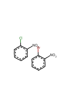 O=[N+]([O-])c1ccccc1Br.O=[N+]([O-])c1ccccc1Cl